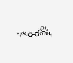 COCc1ccc(-c2cccc(CN(C)C(=O)CN)c2)cc1